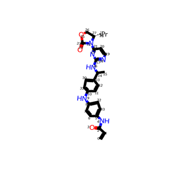 C=CC(=O)Nc1ccc(Nc2ccc(C(C)Nc3nccc(N4C(=O)OC[C@@H]4C(C)C)n3)cc2)cc1